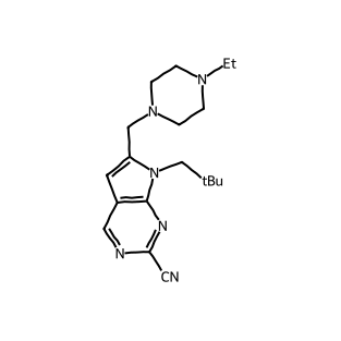 CCN1CCN(Cc2cc3cnc(C#N)nc3n2CC(C)(C)C)CC1